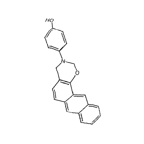 Oc1ccc(N2COc3c(ccc4cc5ccccc5cc34)C2)cc1